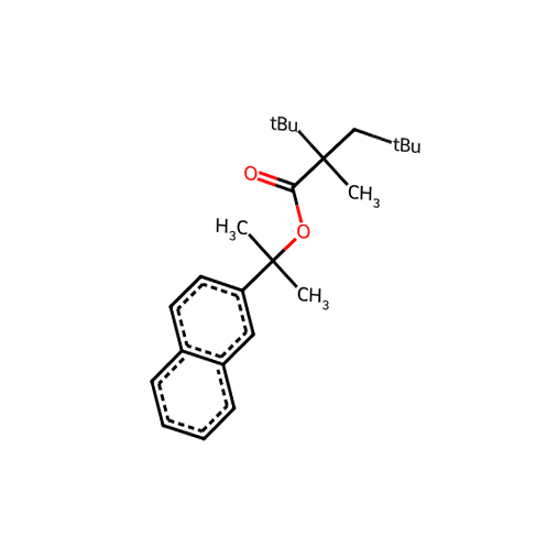 CC(C)(C)CC(C)(C(=O)OC(C)(C)c1ccc2ccccc2c1)C(C)(C)C